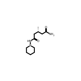 C[C@@H]([CH]C(=O)NN1CCCCC1)CC(N)=O